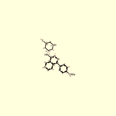 COc1ccc(-c2nnc(N[C@H]3CNC[C@H](F)C3)c3cnccc23)cc1